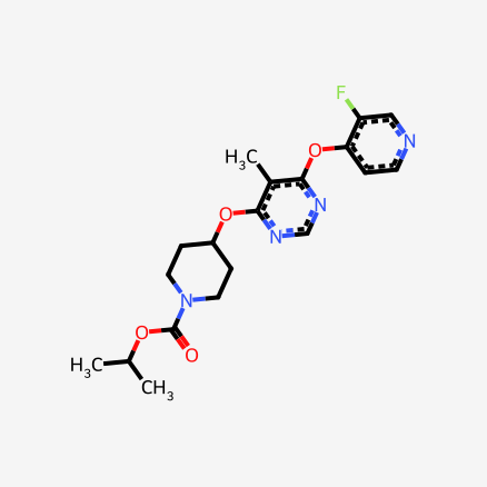 Cc1c(Oc2ccncc2F)ncnc1OC1CCN(C(=O)OC(C)C)CC1